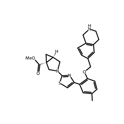 COC(=O)[C@]12C[C@H]1CN(c1nc(-c3cc(C)ccc3OCc3ccc4c(c3)CCNC4)cs1)C2